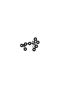 c1ccc(-c2ccccc2-c2nc(-c3ccc(-c4ccc5c6ccccc6n(-c6ccccc6)c5c4)cc3)nc(-c3cccc4c3oc3ccccc34)n2)cc1